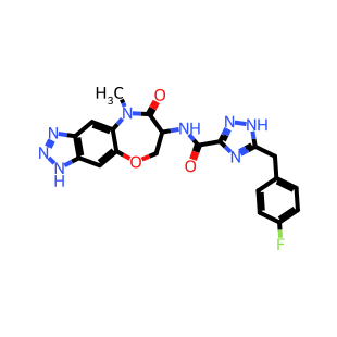 CN1C(=O)C(NC(=O)c2n[nH]c(Cc3ccc(F)cc3)n2)COc2cc3[nH]nnc3cc21